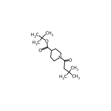 CC(C)(C)CC(=O)N1CCC(C(=O)OC(C)(C)C)CC1